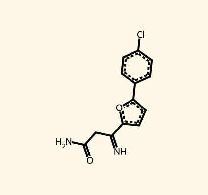 N=C(CC(N)=O)c1ccc(-c2ccc(Cl)cc2)o1